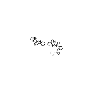 O=C(Nc1noc2cc(-c3ccc(-c4cnc([C@@H]5CCCN5)[nH]4)cc3)ccc12)[C@@H]1CCCN1OC(=O)C(F)(F)F